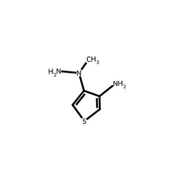 CN(N)c1cscc1N